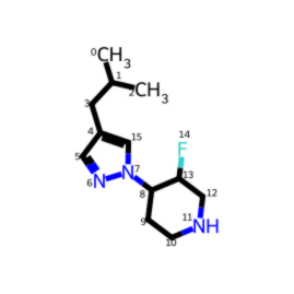 CC(C)Cc1cnn(C2CCNCC2F)c1